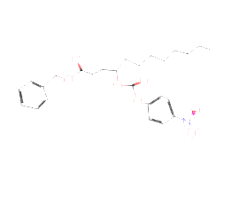 CCCCCCCCC(CCC(=O)OCc1ccccc1)OC(=O)Oc1ccc([N+](=O)[O-])cc1